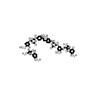 Cc1nn(-c2cc(S(=O)(=O)O)ccc2Cl)c(O)c1N=Nc1cc(Nc2nc(Cl)nc(Nc3ccc(C=Cc4ccc(Nc5nc(Cl)nc(Nc6ccc(S(=O)(=O)O)c(N=Nc7c(C)nn(-c8cc(S(=O)(=O)O)ccc8Cl)c7O)c6)n5)cc4S(=O)(=O)O)c(S(=O)(=O)O)c3)n2)ccc1S(=O)(=O)O